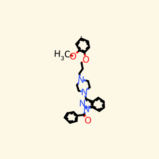 COc1c[c]ccc1OCCCN1CCN(c2nn(C(=O)c3ccccc3)c3ccccc23)CC1